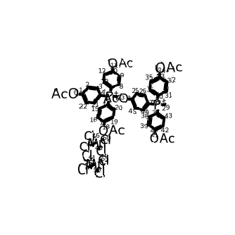 CC(=O)Oc1ccc([P+](C)(c2ccc(OC(C)=O)cc2)c2ccc(OC(C)=O)cc2)cc1.CC(=O)Oc1ccc([P+](C)(c2ccc(OC(C)=O)cc2)c2ccc(OC(C)=O)cc2)cc1.[Cl][Mn-]([Cl])([Cl])[Cl].[Cl][Mn-]([Cl])([Cl])[Cl]